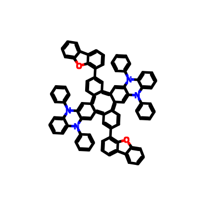 c1ccc(-n2c3ccccc3n(-c3ccccc3)c3cc4c5cc(-c6cccc7c6oc6ccccc67)ccc5c5cc6c(cc5c5cc(-c7cccc8c7oc7ccccc78)ccc5c4cc32)n(-c2ccccc2)c2ccccc2n6-c2ccccc2)cc1